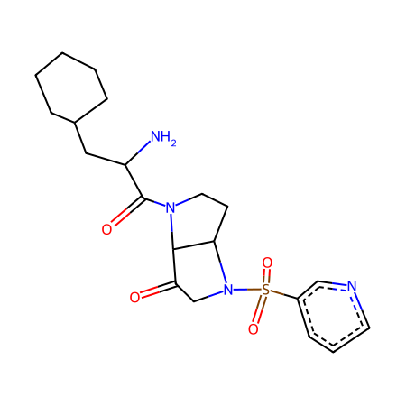 NC(CC1CCCCC1)C(=O)N1CCC2C1C(=O)CN2S(=O)(=O)c1cccnc1